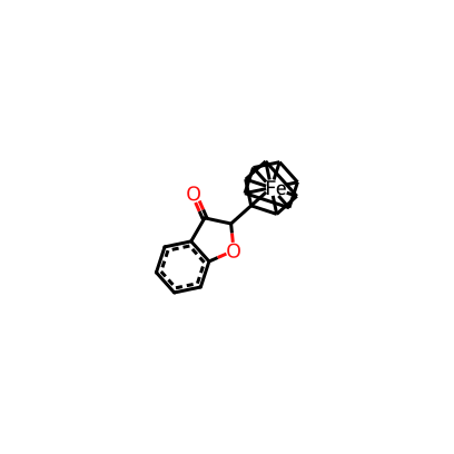 O=C1c2ccccc2OC1[C]12[CH]3[CH]4[CH]5[CH]1[Fe]45321678[CH]2[CH]1[CH]6[CH]7[CH]28